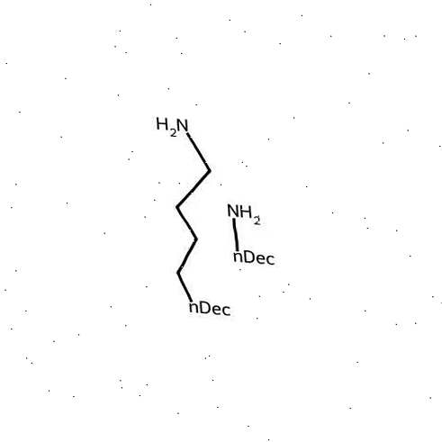 CCCCCCCCCCCCCCN.CCCCCCCCCCN